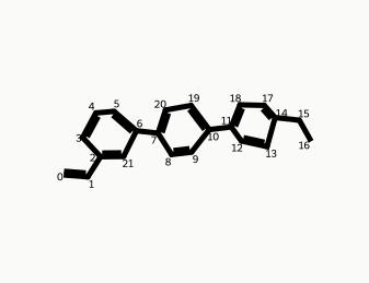 C=Cc1cccc(-c2ccc(-c3ccc(CC)cc3)cc2)c1